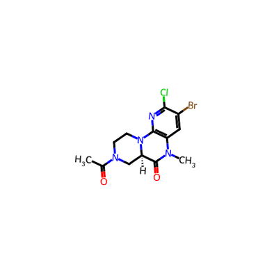 CC(=O)N1CCN2c3nc(Cl)c(Br)cc3N(C)C(=O)[C@H]2C1